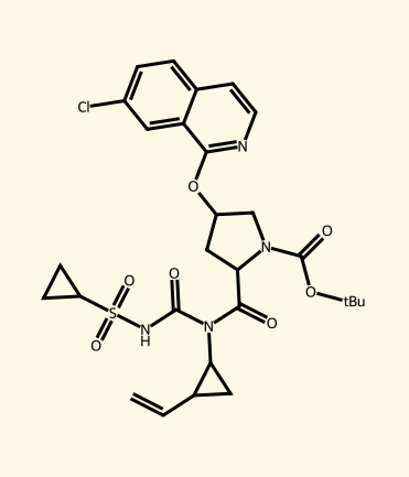 C=CC1CC1N(C(=O)NS(=O)(=O)C1CC1)C(=O)C1CC(Oc2nccc3ccc(Cl)cc23)CN1C(=O)OC(C)(C)C